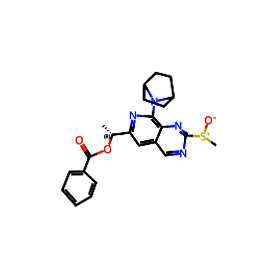 C[C@@H](OC(=O)c1ccccc1)c1cc2cnc([S+](C)[O-])nc2c(N2C3CCC2CC3)n1